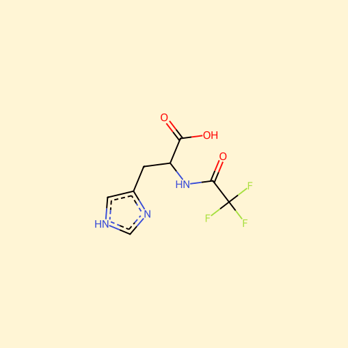 O=C(O)C(Cc1c[nH]cn1)NC(=O)C(F)(F)F